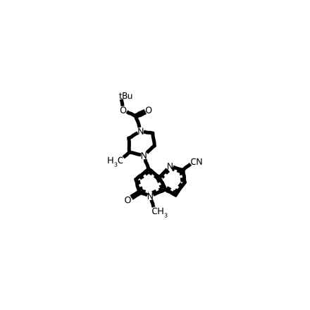 CC1CN(C(=O)OC(C)(C)C)CCN1c1cc(=O)n(C)c2ccc(C#N)nc12